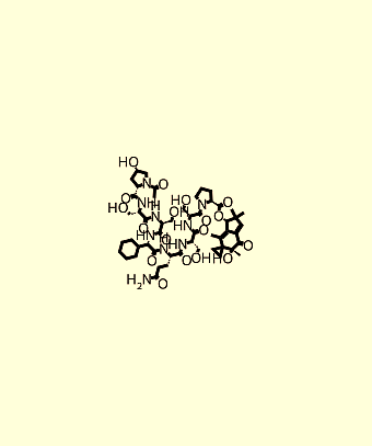 CC(=O)N1C[C@H](O)C[C@H]1C(=O)N[C@@H](CO)C(=O)N[C@@H](CO)C(=O)N[C@H](C(=O)N[C@@H](CCC(N)=O)C(=O)N[C@@H](CO)C(=O)N[C@@H](CO)C(=O)N1CCC[C@H]1C(=O)O[C@@H]1C2=C(C)C3(CC3)[C@@](C)(O)C(=O)C2=CC1(C)C)C1CCCCC1